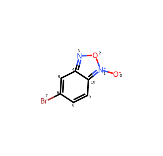 [O-][n+]1onc2cc(Br)ccc21